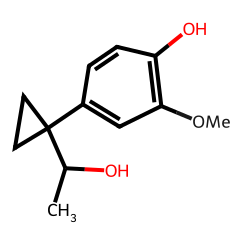 COc1cc(C2(C(C)O)CC2)ccc1O